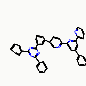 c1ccc(-c2cc(-c3ccccn3)nc(-c3ccc(-c4cccc(-c5nc(-c6ccccc6)nc(-c6ccccc6)n5)c4)cn3)c2)cc1